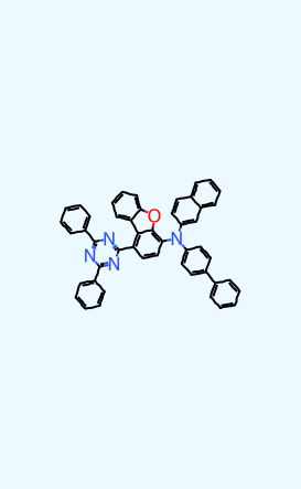 c1ccc(-c2ccc(N(c3ccc4ccccc4c3)c3ccc(-c4nc(-c5ccccc5)nc(-c5ccccc5)n4)c4c3oc3ccccc34)cc2)cc1